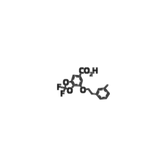 Cc1cccc(CCOc2cc(C(=O)O)cc3c2OC(F)(F)O3)c1